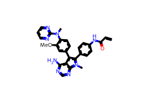 C=CC(=O)Nc1ccc(-c2c(-c3ccc(N(C)c4ncccn4)c(OC)c3)c3c(N)ncnc3n2C)cc1